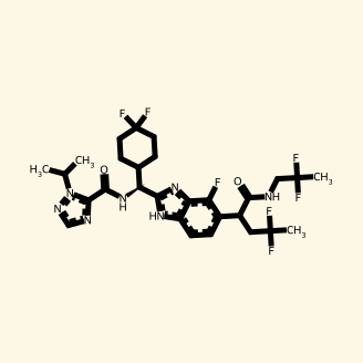 CC(C)n1ncnc1C(=O)N[C@H](c1nc2c(F)c(C(CC(C)(F)F)C(=O)NCC(C)(F)F)ccc2[nH]1)C1CCC(F)(F)CC1